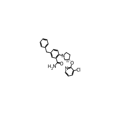 NC(=O)c1cc(Cc2ccccc2)ccc1N1CC[C@H](Oc2ncccc2Cl)C1